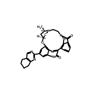 C[C@@H]1C[C@H]2CN1CCn1[nH]c3c(cccc3c1=O)-c1nc3c(cc(-c4ncc5c(n4)CCCC5)cc3[nH]c1=O)O2